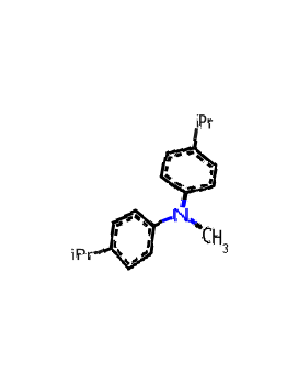 CC(C)c1ccc(N(C)c2ccc(C(C)C)cc2)cc1